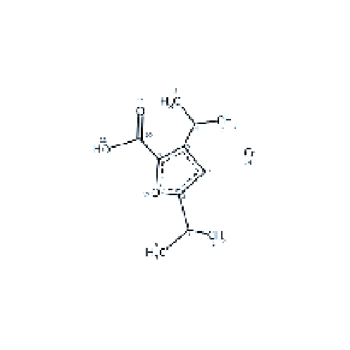 CC(C)c1cc(C(C)C)c(C(=O)O)o1.[Cr]